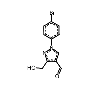 O=Cc1cn(-c2ccc(Br)cc2)nc1CO